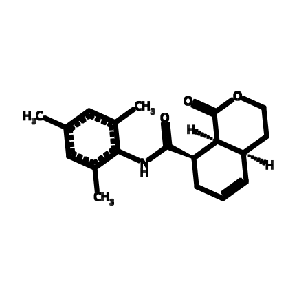 Cc1cc(C)c(NC(=O)[C@@H]2CC=C[C@@H]3CCOC(=O)[C@@H]32)c(C)c1